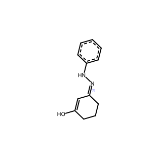 OC1=C/C(=N\Nc2ccccc2)CCC1